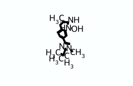 C[C@@H](Cc1ccc(-c2cn(C)c(C(C)(C)C)n2)cc1)C(=N)NO